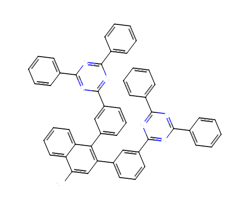 N#Cc1cc(-c2cccc(-c3nc(-c4ccccc4)nc(-c4ccccc4)n3)c2)c(-c2cccc(-c3nc(-c4ccccc4)nc(-c4ccccc4)n3)c2)c2ccccc12